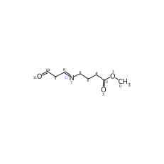 COC(=O)CCC/N=C/CC=O